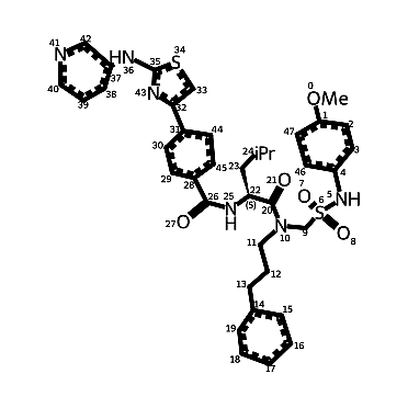 COc1ccc(NS(=O)(=O)CN(CCCc2ccccc2)C(=O)[C@H](CC(C)C)NC(=O)c2ccc(-c3csc(Nc4cccnc4)n3)cc2)cc1